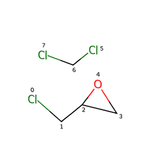 ClCC1CO1.ClCCl